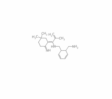 C=C(C)/C(NCC1C=CC=CC1CN)=C1\CC(C)(C)CCC1=N